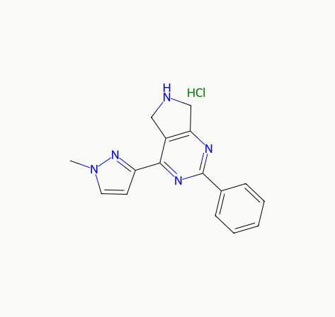 Cl.Cn1ccc(-c2nc(-c3ccccc3)nc3c2CNC3)n1